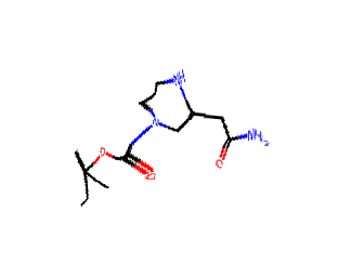 CC(C)(C)OC(=O)N1CCNC(CC(N)=O)C1